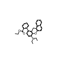 CCOC(=O)c1ccccc1-c1ccc(N(CC)CC)c2c1Cc1c(ccc3ccccc13)O2